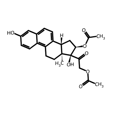 CC(=O)OCC(=O)[C@@]1(O)[C@H](OC(C)=O)C[C@H]2c3ccc4cc(O)ccc4c3CC[C@@]21C